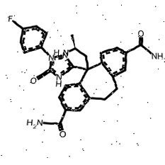 C[C@H](N)CC1(c2nn(-c3ccc(F)cc3)c(=O)[nH]2)c2ccc(C(N)=O)cc2CCc2cc(C(N)=O)ccc21